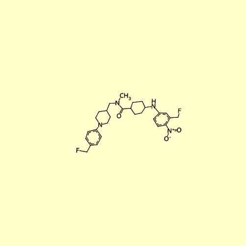 CN(CC1CCN(c2ccc(CF)cc2)CC1)C(=O)C1CCC(Nc2ccc([N+](=O)[O-])c(CF)c2)CC1